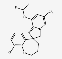 FC(F)OC1=CC(C(F)(F)F)=CN2CC3(CCCOc4c(Cl)cccc43)N=C12